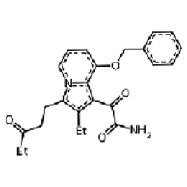 CCC(=O)CCc1c(CC)c(C(=O)C(N)=O)c2c(OCc3ccccc3)cccn12